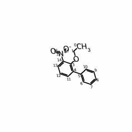 CCOc1c(-c2ccccc2)cccc1[N+](=O)[O-]